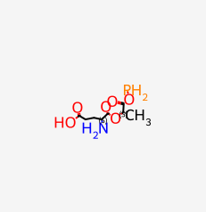 C[C@H](OC(=O)[C@@H](N)CCC(=O)O)C(=O)OP